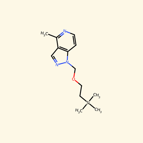 Cc1nccc2c1cnn2COCC[Si](C)(C)C